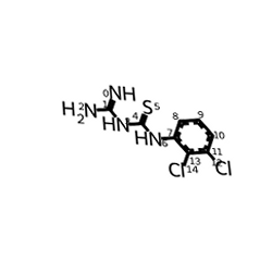 N=C(N)NC(=S)Nc1cccc(Cl)c1Cl